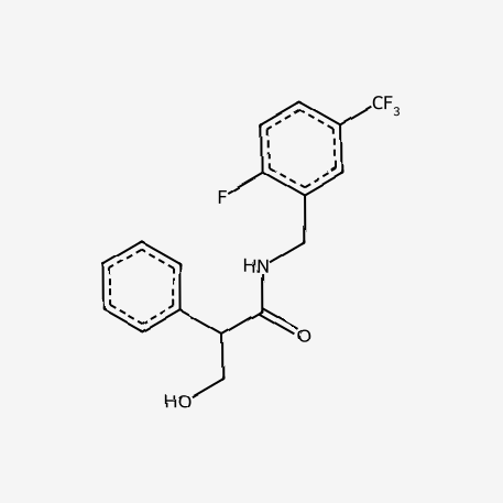 O=C(NCc1cc(C(F)(F)F)ccc1F)C(CO)c1ccccc1